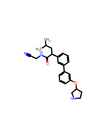 CC(C)CC(C(=O)NCC#N)c1cccc(-c2cccc(OC3CCNC3)c2)c1